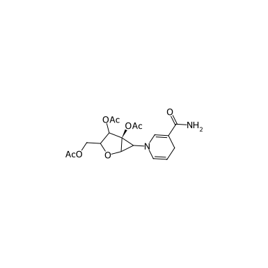 CC(=O)OCC1OC2C(N3C=CCC(C(N)=O)=C3)[C@@]2(OC(C)=O)C1OC(C)=O